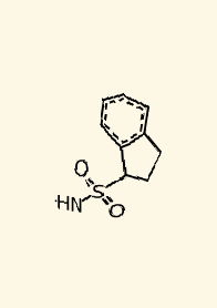 [NH]S(=O)(=O)C1CCc2ccccc21